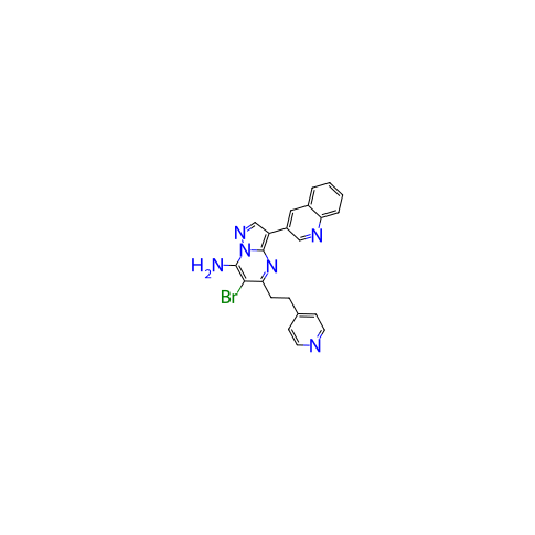 Nc1c(Br)c(CCc2ccncc2)nc2c(-c3cnc4ccccc4c3)cnn12